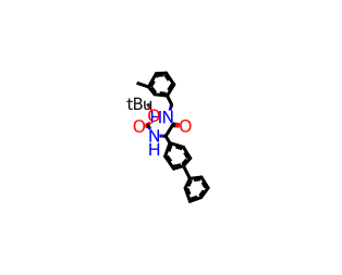 Cc1cccc(CNC(=O)C(NC(=O)OC(C)(C)C)c2ccc(-c3ccccc3)cc2)c1